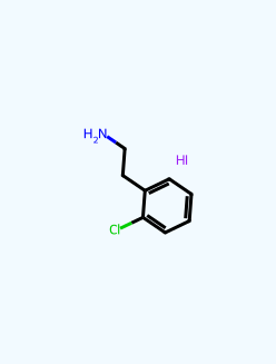 I.NCCc1ccccc1Cl